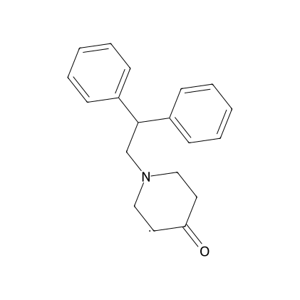 O=C1[CH]CN(CC(c2ccccc2)c2ccccc2)CC1